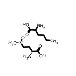 CCCCC(N)C(=O)O.C[S@+]([O-])CC[C@@H](N)C(=O)O